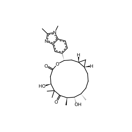 Cc1nc2cc([C@@H]3C[C@@H]4C[C@@H]4CCC[C@H](C)[C@H](O)[C@@H](C)C(=O)C(C)(C)[C@@H](O)CC(=O)O3)ccc2n1C